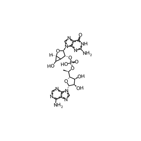 C[C@@H](OP(=O)(O)O[C@@H]1C2C(O)[C@H]2O[C@H]1n1cnc2c(=O)[nH]c(N)nc21)[C@H]1O[C@@H](n2cnc3c(N)ncnc32)[C@H](O)[C@@H]1O